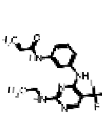 C=CC(=O)Nc1cccc(Nc2nc(NCC)ncc2C(F)(F)F)c1